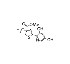 COC(=O)[C@@]1(C)CSC(c2ncc(O)cc2O)=N1